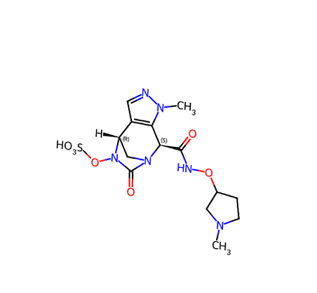 CN1CCC(ONC(=O)[C@@H]2c3c(cnn3C)[C@@H]3CN2C(=O)N3OS(=O)(=O)O)C1